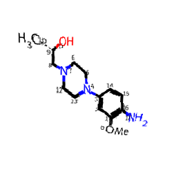 COc1cc(N2CCN(C[C@H](C)O)CC2)ccc1N